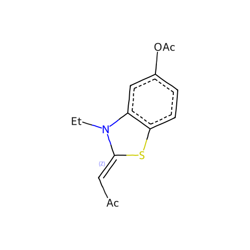 CCN1/C(=C/C(C)=O)Sc2ccc(OC(C)=O)cc21